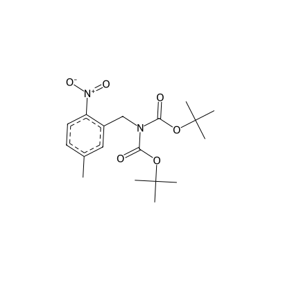 Cc1ccc([N+](=O)[O-])c(CN(C(=O)OC(C)(C)C)C(=O)OC(C)(C)C)c1